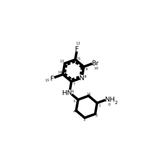 NC1CCCC(Nc2nc(Br)c(F)cc2F)C1